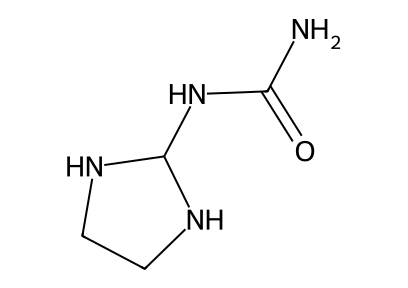 NC(=O)NC1NCCN1